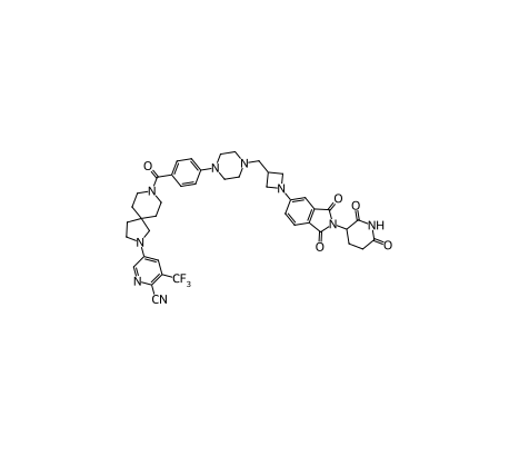 N#Cc1ncc(N2CCC3(CCN(C(=O)c4ccc(N5CCN(CC6CN(c7ccc8c(c7)C(=O)N(C7CCC(=O)NC7=O)C8=O)C6)CC5)cc4)CC3)C2)cc1C(F)(F)F